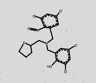 O=Nc1c(Cl)cc(Cl)cc1CN(Cc1cc(Cl)cc(Cl)c1O)CC1CCCO1